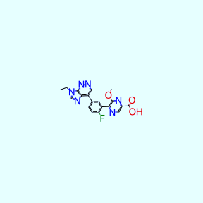 CCn1cnc2c(-c3ccc(F)c(-c4ncc(C(=O)O)nc4OC)c3)cnnc21